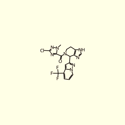 Cn1nc(Cl)nc1C(=O)N1CCc2[nH]cnc2C1c1cc2c(C(F)(F)F)cccn2n1